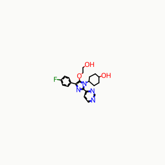 OCCOc1c(-c2ccc(F)cc2)nc(-c2ccncn2)n1C1CCC(O)CC1